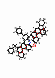 CC1(C)c2ccccc2-c2ccc(-c3ccc4c(c3)N(c3c(-c5ccc(-c6ccccc6)cc5)cc(-c5ccccc5)cc3-c3ccc(-c5ccccc5)cc3)c3cc(-c5ccc6c(c5)C(C)(C)C5CCCCC65)ccc3O4)cc21